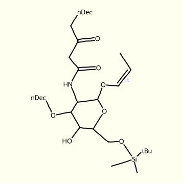 C/C=C\OC1OC(CO[Si](C)(C)C(C)(C)C)C(O)C(OCCCCCCCCCC)C1NC(=O)CC(=O)CCCCCCCCCCC